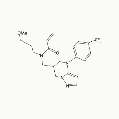 C=CC(=O)N(CCCOC)CC1CN(c2ccc(C(F)(F)F)cc2)c2ccnn2C1